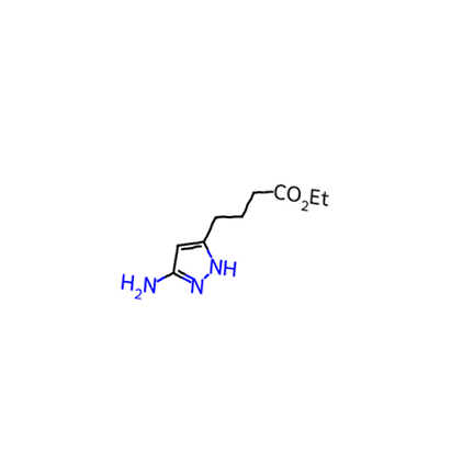 CCOC(=O)CCCc1cc(N)n[nH]1